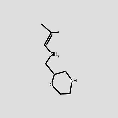 CC(C)=C[SiH2]CC1CNCCO1